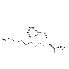 C=Cc1ccccc1.CCCCCCCCCCCCCCCCCCC=C(C)C(=O)O